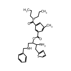 CCCN(CCC)C(=O)c1cc(C)cc(C(=O)OC(CNCc2ccccc2)C(N)Cc2cccs2)c1